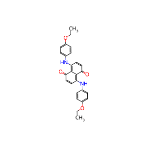 CCOc1ccc(NC2=C3C(=O)C=CC(Nc4ccc(OCC)cc4)=C3C(=O)C=C2)cc1